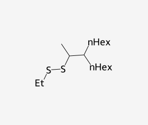 CCCCCCC(CCCCCC)C(C)SSCC